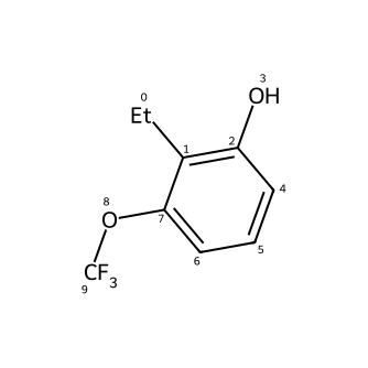 CCc1c(O)cccc1OC(F)(F)F